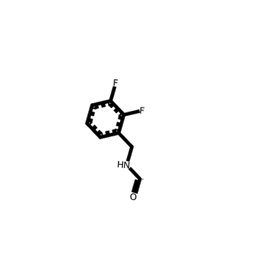 O=[C]NCc1cccc(F)c1F